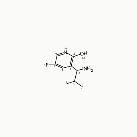 CC(C)C(N)c1cc(F)cnc1O